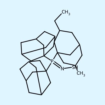 CCC1CC2CC(C)CC(P(=NS)(C34CC5CC(CC(C5)C3)C4)C34CC5CC(CC(C5)C3)C4)(C1)C2